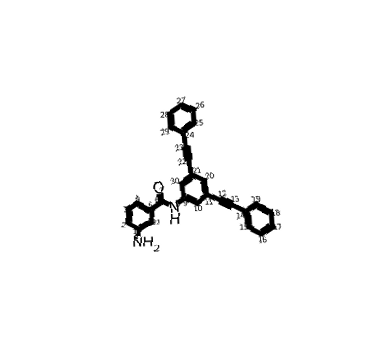 Nc1cccc(C(=O)Nc2cc(C#Cc3ccccc3)cc(C#Cc3ccccc3)c2)c1